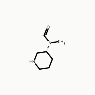 CN([C]=O)[C@@H]1CCCNC1